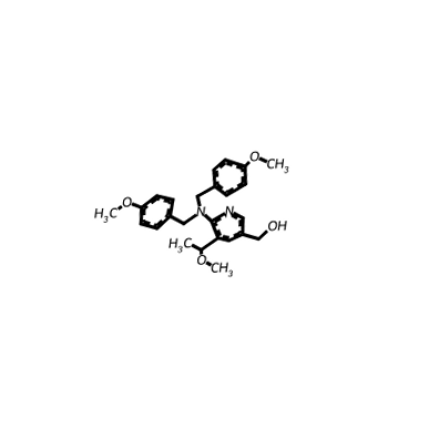 COc1ccc(CN(Cc2ccc(OC)cc2)c2ncc(CO)cc2C(C)OC)cc1